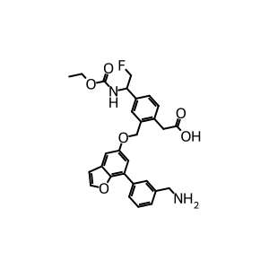 CCOC(=O)NC(CF)c1ccc(CC(=O)O)c(COc2cc(-c3cccc(CN)c3)c3occc3c2)c1